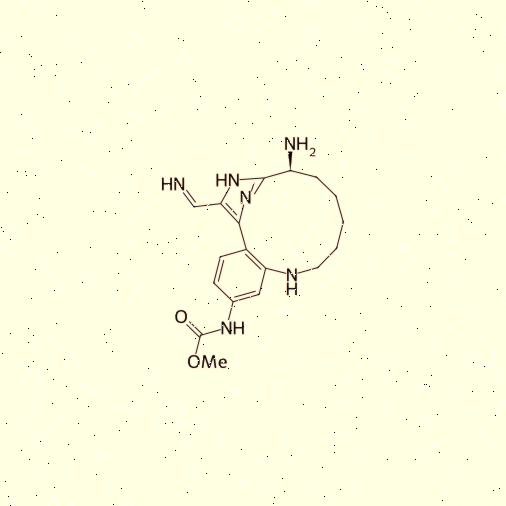 COC(=O)Nc1ccc2c(c1)NCCCCC[C@H](N)c1nc-2c(C=N)[nH]1